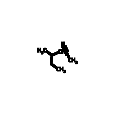 CC#N.CC[C](C)C